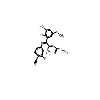 COC(=O)N=C(SC)C(=Nc1ccc(C#N)c(F)c1)c1cc(OC)cc(O)c1F